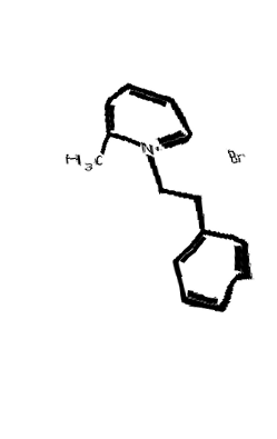 Cc1cccc[n+]1CCc1ccccc1.[Br-]